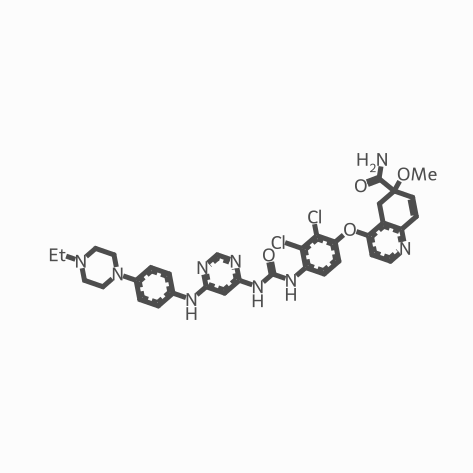 CCN1CCN(c2ccc(Nc3cc(NC(=O)Nc4ccc(Oc5ccnc6c5CC(OC)(C(N)=O)C=C6)c(Cl)c4Cl)ncn3)cc2)CC1